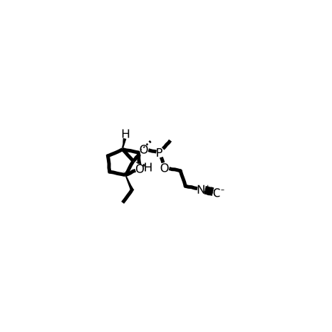 [C-]#[N+]CCOP(C)O[C@@H]1[C@@H]2CC[C@@]1(CC)O[C@H]2C